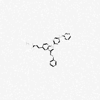 O=C(O)C=Cc1ccc2c(c1)c(CCc1ccccc1)cn2-c1ccc(Oc2ccccc2)cc1